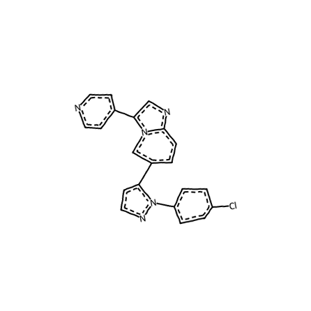 Clc1ccc(-n2nccc2-c2ccc3ncc(-c4ccncc4)n3c2)cc1